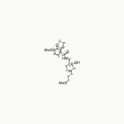 COCCCN1CC[C@@H](CNC(=O)c2ccc(OC)c3c2OCCO3)[C@H](O)C1